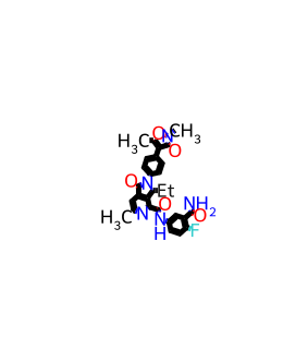 CCC1c2c(cc(C)nc2C(=O)Nc2ccc(F)c(C(N)=O)c2)C(=O)N1c1ccc(-c2c(C)on(C)c2=O)cc1